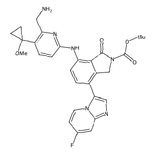 COC1(c2ccc(Nc3ccc(-c4cnc5cc(F)ccn45)c4c3C(=O)N(C(=O)OC(C)(C)C)C4)nc2CN)CC1